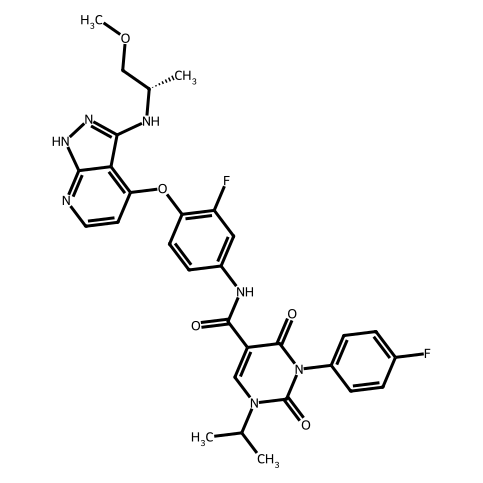 COC[C@H](C)Nc1n[nH]c2nccc(Oc3ccc(NC(=O)c4cn(C(C)C)c(=O)n(-c5ccc(F)cc5)c4=O)cc3F)c12